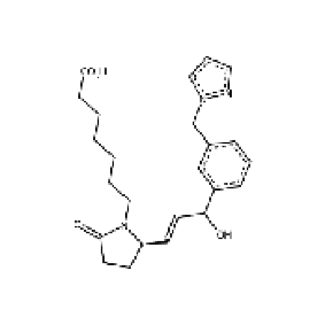 O=C(O)CCCCCCN1C(=O)CC[C@@H]1/C=C/C(O)c1cccc(Cn2cccn2)c1